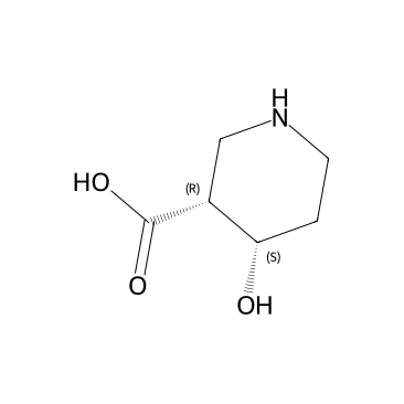 O=C(O)[C@@H]1CNCC[C@@H]1O